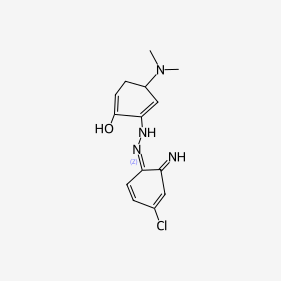 CN(C)C1C=C(N/N=C2/C=CC(Cl)=CC2=N)C(O)=CC1